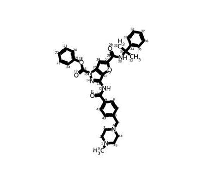 CN1CCN(Cc2ccc(C(=O)Nc3nn(C(=O)Oc4ccccc4)c4cc(C(=O)NC(C)(C)c5ccccc5)oc34)cc2)CC1